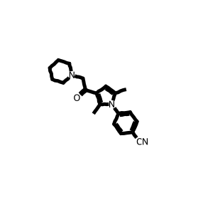 Cc1cc(C(=O)CN2CCCCC2)c(C)n1-c1ccc(C#N)cc1